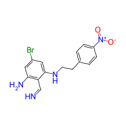 N=Cc1c(N)cc(Br)cc1NCCc1ccc([N+](=O)[O-])cc1